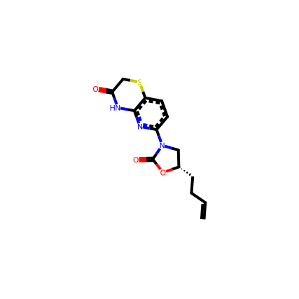 C=CCC[C@H]1CN(c2ccc3c(n2)NC(=O)CS3)C(=O)O1